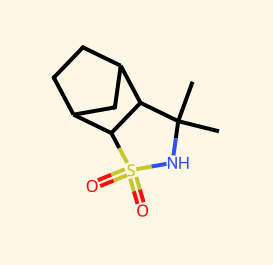 CC1(C)NS(=O)(=O)C2C3CCC(C3)C21